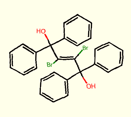 OC(/C(Br)=C(\Br)C(O)(c1ccccc1)c1ccccc1)(c1ccccc1)c1ccccc1